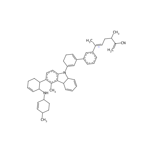 C=C(C#N)C(C)C/C=C(\C)c1cccc(C2=CCCC(N3c4ccc(C5CCC=CC5NC5C=CC(C)CC5)c(C)c4C4C=CC=CC43)=C2)c1